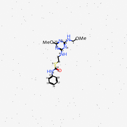 COCNc1nc(NCCSC(=O)Nc2ccccc2)nc(OC)n1